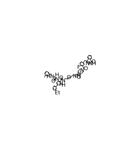 CCc1cccc(-c2cnc(C(=O)NCCOCCNCC(=O)N3CCN(C(=O)c4cc(Cc5n[nH]c(=O)c6ccccc56)ccc4F)CC3)c(NC(=O)CNCc3cccc(C)c3)c2)c1